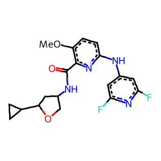 COc1ccc(Nc2cc(F)nc(F)c2)nc1C(=O)NC1COC(C2CC2)C1